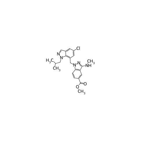 CNc1nn(Cc2cc(Cl)cc3cnn(CC(C)C)c23)c2ccc(C(=O)OC)cc12